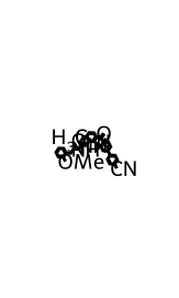 COc1ccccc1CCNC(=O)Nc1cc(C(=O)N2CCC(c3ccc(C#N)cc3)CC2)ccc1C